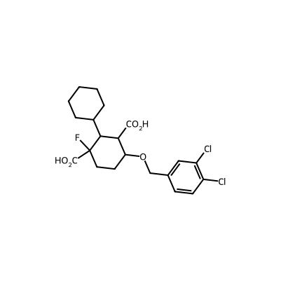 O=C(O)C1C(OCc2ccc(Cl)c(Cl)c2)CCC(F)(C(=O)O)C1C1CCCCC1